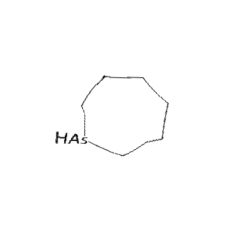 C1CCC[AsH]CC1